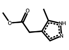 COC(=O)Cc1cn[nH]c1C